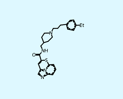 CCc1ccc(CCCN2CCC(CNC(=O)C3=Cc4cnc5cccc(n45)S3)CC2)cc1